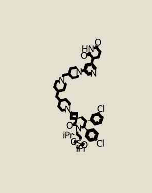 CC(C)[C@@H](CS(=O)(=O)C(C)C)N1C(=O)[C@]2(C=C(N3CCC(CC4CCN(CC5CCN(c6cncc(C7CCC(=O)NC7=O)c6)CC5)CC4)CC3)C2)C[C@H](c2cccc(Cl)c2)[C@H]1c1ccc(Cl)cc1